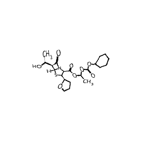 CC(OC(=O)OC1CCCCC1)OC(=O)C1C([C@H]2CCCO2)S[C@@H]2[C@@H]([C@@H](C)O)C(=O)N12